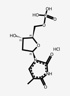 Cc1cn([C@H]2C[C@H](O)[C@@H](COP(=O)(O)O)O2)c(=O)[nH]c1=O.Cl